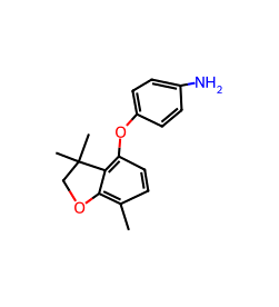 Cc1ccc(Oc2ccc(N)cc2)c2c1OCC2(C)C